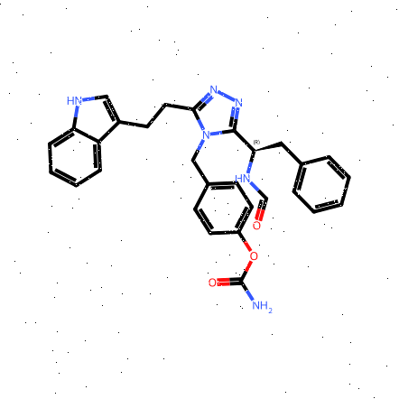 NC(=O)Oc1ccc(Cn2c([CH]Cc3c[nH]c4ccccc34)nnc2[C@@H](Cc2ccccc2)NC=O)cc1